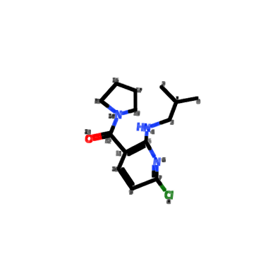 CC(C)CNc1nc(Cl)ccc1C(=O)N1CCCC1